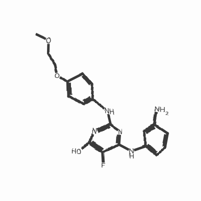 COCCOc1ccc(Nc2nc(O)c(F)c(Nc3cccc(N)c3)n2)cc1